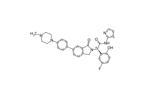 CN1CCN(c2ccc(-c3ccc4c(c3)C(=O)N([C@@H](C(=O)Nc3nccs3)c3cc(F)ccc3O)C4)cc2)CC1